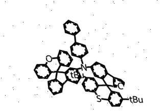 CC(C)(C)c1ccc2c(c1)C1(c3cc(C(C)(C)C)ccc3S2)c2ccccc2-c2ccc(N(c3ccc(-c4ccccc4)cc3)c3ccc4c(c3)C3(c5ccccc5Oc5ccccc53)c3ccccc3-4)cc21